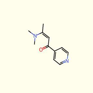 CC(=CC(=O)c1ccncc1)N(C)C